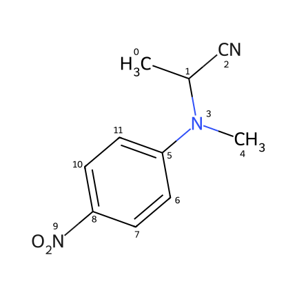 CC(C#N)N(C)c1ccc([N+](=O)[O-])cc1